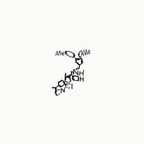 COc1ccc(CCNCC(O)COc2ccc(/C(C)=C\C#N)cc2Cl)cc1OC.Cl